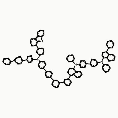 c1ccc(-c2ccc(-c3ccc(N(c4ccc(-c5ccc(-c6cccc(-c7cccc(-c8ccc(N(c9ccccc9)c9ccc(-c%10ccc(N(c%11ccccc%11)c%11ccc(-c%12ccccc%12)c%12ccccc%11%12)cc%10)cc9)c9ccccc89)c7)c6)cc5)cc4)c4cccc(-c5cccc6c5oc5ccccc56)c4)cc3)cc2)cc1